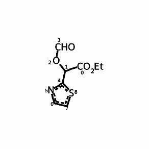 CCOC(=O)C(OC=O)c1nccs1